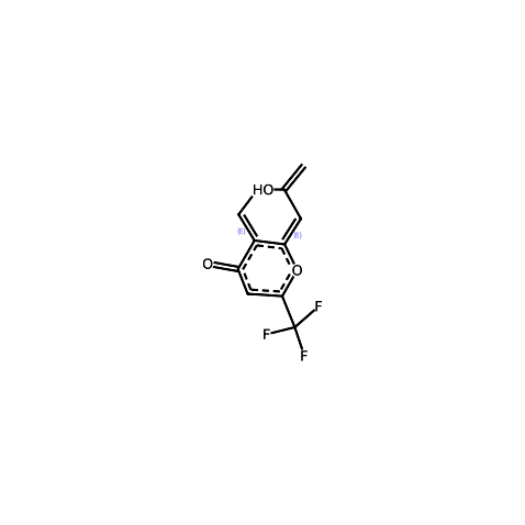 C=C(O)/C=c1/oc(C(F)(F)F)cc(=O)/c1=C/C